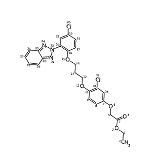 CCOC(=O)COc1ccc(OCCCOc2ccc(Cl)cc2-n2nc3ccccc3n2)c(Cl)c1